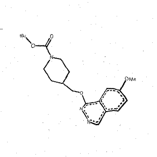 COc1ccc2cnnc(OCC3CCN(C(=O)OC(C)(C)C)CC3)c2c1